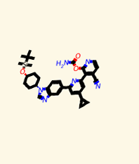 CC(C)(C)[Si](C)(C)O[C@H]1CC[C@H](n2cnc3cc(-c4cc(C5CC5)cc(-c5c(C#N)ccnc5OC(N)=O)n4)ccc32)CC1